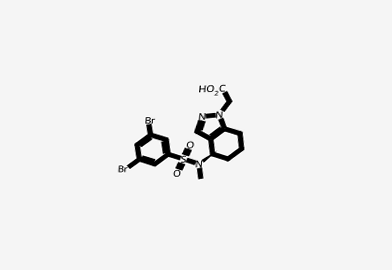 CN([C@@H]1CCCc2c1cnn2CC(=O)O)S(=O)(=O)c1cc(Br)cc(Br)c1